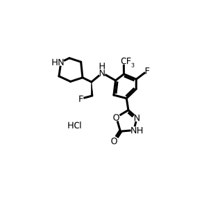 Cl.O=c1[nH]nc(-c2cc(F)c(C(F)(F)F)c(N[C@@H](CF)C3CCNCC3)c2)o1